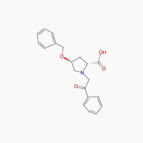 O=C(CN1C[C@@H](OCc2ccccc2)C[C@@H]1C(=O)O)c1ccccc1